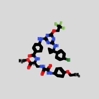 CCOc1ccc(NC(=O)C(=O)NC[C@H](NC(=O)c2ccc(Nc3nc(NC4(c5ccc(Cl)cc5)CC4)nc(OCC(F)(F)F)n3)cc2)C(=O)OC)cc1